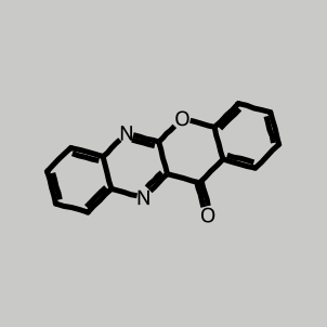 O=c1c2ccccc2oc2nc3ccccc3nc12